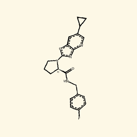 O=C(NCc1ccc(F)cc1)[C@H]1CCCN1c1nc2ncc(C3CC3)cc2s1